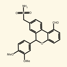 COc1ccc(C2Oc3cccc(C=O)c3-c3ccc(CS(N)(=O)=O)cc32)cc1OC